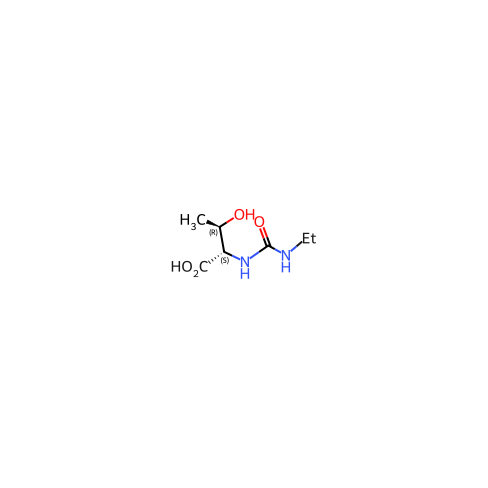 CCNC(=O)N[C@H](C(=O)O)[C@@H](C)O